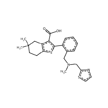 CN(Cc1nccs1)Cc1ccccc1-c1sc2c(c1C(=O)O)CC(C)(C)CC2